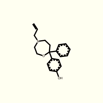 C=CCN1CCOC(c2ccccc2)(c2ccc(O)cc2)CC1